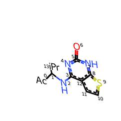 CC(=O)C(Nc1nc(=O)[nH]c2sccc12)C(C)C